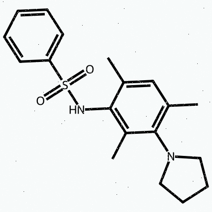 Cc1cc(C)c(N2CCCC2)c(C)c1NS(=O)(=O)c1ccccc1